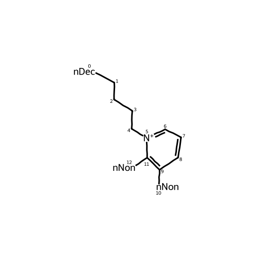 CCCCCCCCCCCCCC[n+]1cccc(CCCCCCCCC)c1CCCCCCCCC